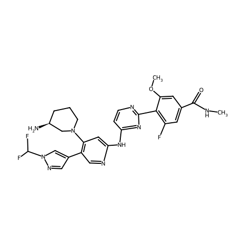 CNC(=O)c1cc(F)c(-c2nccc(Nc3cc(N4CCC[C@H](N)C4)c(-c4cnn(C(F)F)c4)cn3)n2)c(OC)c1